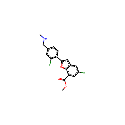 CNCc1ccc(-c2cc3cc(F)cc(C(=O)OC)c3o2)c(F)c1